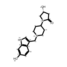 O=C1C[C@@H](O)CN1C1CCN(Cc2c[nH]c3cc(O)ccc23)CC1